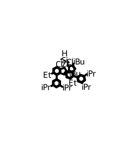 CCc1ccc2c(c1-c1cc(C(C)C)cc(C(C)C)c1)C=C(C(C)CC)[CH]2[Zr]([Cl])([Cl])([CH]1C(C(C)CC)=Cc2c1ccc(CC)c2-c1cc(C(C)C)cc(C(C)C)c1)[SiH](C)C